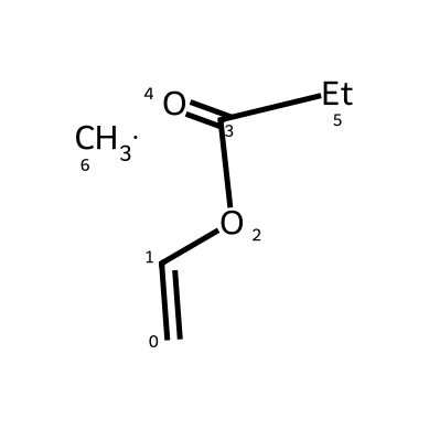 C=COC(=O)CC.[CH3]